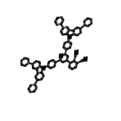 N#Cc1cccc(-c2cc(-c3ccc(-n4c5ccc(-c6ccccc6)cc5c5cc(-c6ccccc6)ccc54)cc3)nc(-c3ccc(-n4c5ccc(-c6ccccc6)cc5c5cc(-c6ccccc6)ccc54)cc3)c2)c1C#N